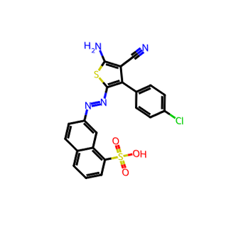 N#Cc1c(N)sc(N=Nc2ccc3cccc(S(=O)(=O)O)c3c2)c1-c1ccc(Cl)cc1